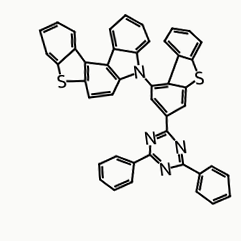 c1ccc(-c2nc(-c3ccccc3)nc(-c3cc(-n4c5ccccc5c5c6c(ccc54)sc4ccccc46)c4c(c3)sc3ccccc34)n2)cc1